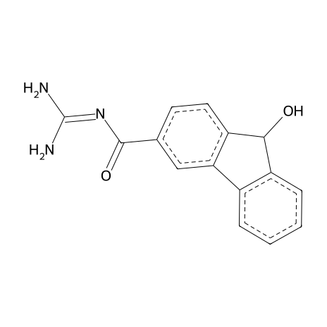 NC(N)=NC(=O)c1ccc2c(c1)-c1ccccc1C2O